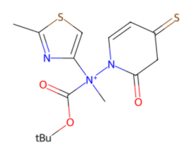 Cc1nc([N+](C)(C(=O)OC(C)(C)C)N2C=CC(=S)CC2=O)cs1